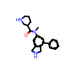 CN(C(=O)C1CCCNC1)c1cc2c(c(-c3ccccc3)c1)CNC2